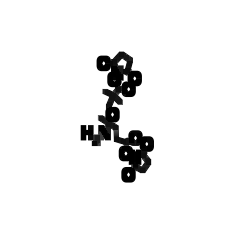 CC(N)(CCC(=O)ON1C(=O)CCC1=O)OCC(C)(C)C(=O)ON1C(=O)CCC1=O